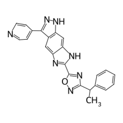 CC(c1ccccc1)c1noc(-c2nc3cc4c(-c5ccncc5)n[nH]c4cc3[nH]2)n1